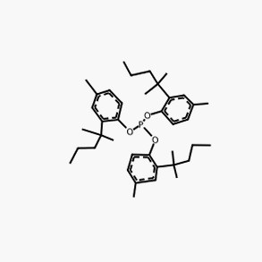 CCCC(C)(C)c1cc(C)ccc1OP(Oc1ccc(C)cc1C(C)(C)CCC)Oc1ccc(C)cc1C(C)(C)CCC